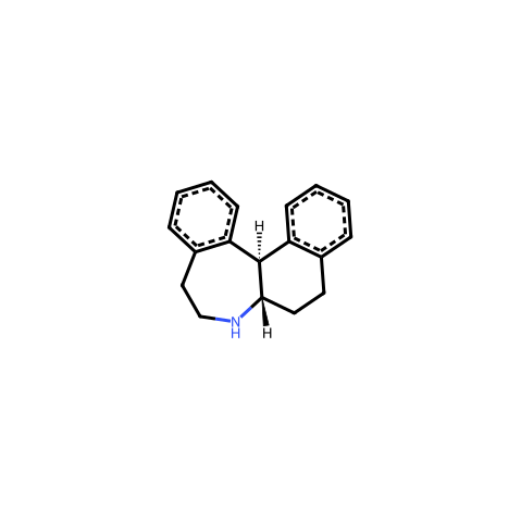 c1ccc2c(c1)CCN[C@H]1CCc3ccccc3[C@H]21